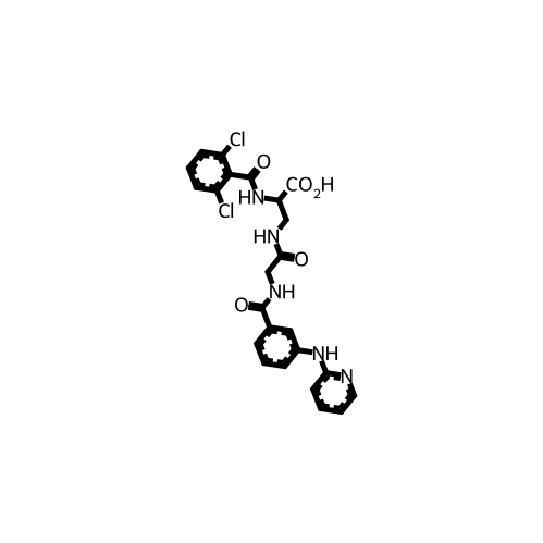 O=C(CNC(=O)c1cccc(Nc2ccccn2)c1)NCC(NC(=O)c1c(Cl)cccc1Cl)C(=O)O